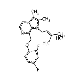 CC(C)=CCn1c(C)c(C)c2ccnc(COc3ccc(F)cc3F)c21.Cl